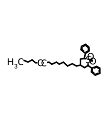 CCCCCCCCCCCCCCCC1CC(c2ccccc2)S(=O)(=O)C(c2ccccc2)C1